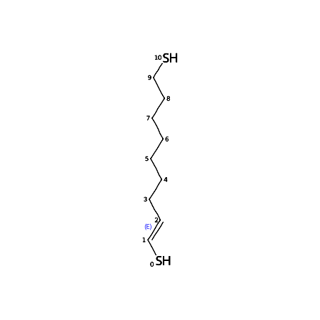 S/C=C/CCCCCCCS